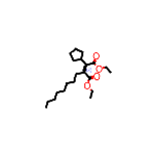 CCCCCCCC/C(C(=O)OCC)=C(/C(=O)OCC)C1CCCC1